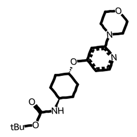 CC(C)(C)OC(=O)N[C@H]1CC[C@H](Oc2ccnc(N3CCOCC3)c2)CC1